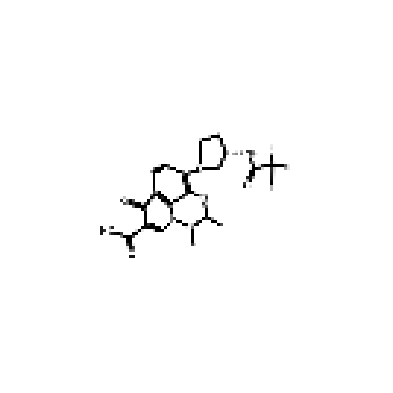 CC1Oc2c(N3CC[C@H](NC(=O)C(F)(F)F)C3)ccc3c(=O)c(C(=O)O)cn(c23)N1C